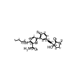 CCCCNc1ncc(-c2cc(C#C[C@]3(O)CCN(C)C3=O)ccc2F)nc1C(N)=O